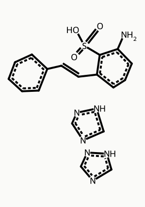 Nc1cccc(C=Cc2ccccc2)c1S(=O)(=O)O.c1nc[nH]n1.c1nc[nH]n1